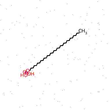 CCCCCCCCCCCCCCCCCCCCCCCCCCCCCCCCOP(=O)(O)O